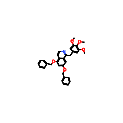 COc1cc(Cc2nccc3c(OCc4ccccc4)cc(OCc4ccccc4)cc23)cc(OC)c1OC